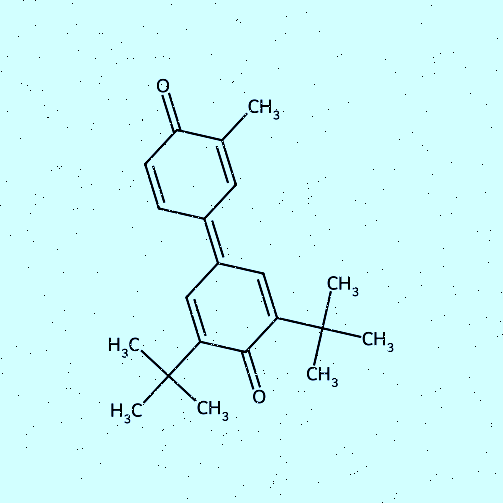 CC1=CC(=C2C=C(C(C)(C)C)C(=O)C(C(C)(C)C)=C2)C=CC1=O